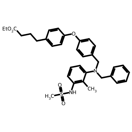 CCOC(=O)CCCc1ccc(Oc2ccc(CN(Cc3ccccc3)c3cccc(NS(C)(=O)=O)c3C)cc2)cc1